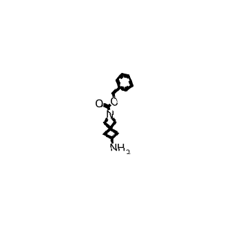 NC1CC2(C1)CN(C(=O)OCc1ccccc1)C2